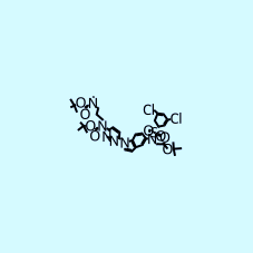 CN(CCCN(C(=O)OC(C)(C)C)c1ccc(-n2ccc3cc(N(CC(=O)OC(C)(C)C)S(=O)(=O)C4C=C(Cl)C=C(Cl)C4)ccc32)nn1)C(=O)OC(C)(C)C